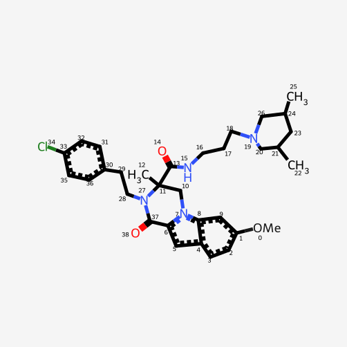 COc1ccc2cc3n(c2c1)CC(C)(C(=O)NCCCN1CC(C)CC(C)C1)N(CCc1ccc(Cl)cc1)C3=O